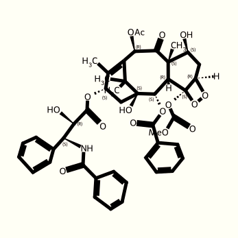 COC(=O)O[C@@]12OO[C@@H]1C[C@H](O)[C@@]1(C)C(=O)[C@H](OC(C)=O)C3=C(C)[C@@H](OC(=O)[C@H](O)[C@@H](NC(=O)c4ccccc4)c4ccccc4)C[C@@](O)([C@@H](OC(=O)c4ccccc4)[C@H]21)C3(C)C